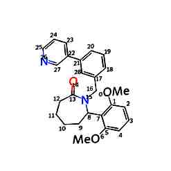 COc1cccc(OC)c1C1CCCCC(=O)N1Cc1cccc(-c2cccnc2)c1